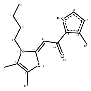 CCCCN1C(C)=C(C)S/C1=C\C(=O)c1sccc1C